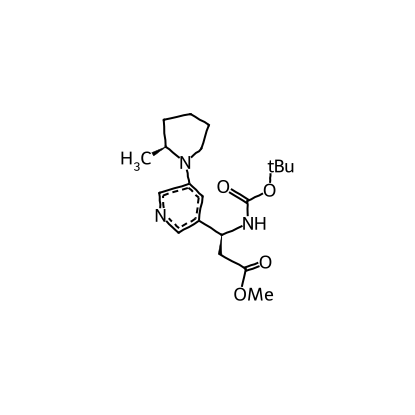 COC(=O)C[C@H](NC(=O)OC(C)(C)C)c1cncc(N2CCCC[C@@H]2C)c1